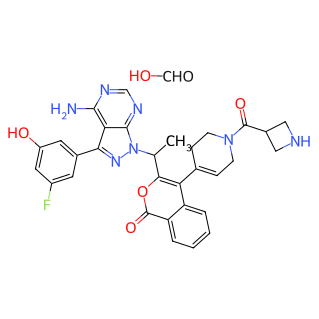 CC(c1oc(=O)c2ccccc2c1C1=CCN(C(=O)C2CNC2)CC1)n1nc(-c2cc(O)cc(F)c2)c2c(N)ncnc21.O=CO